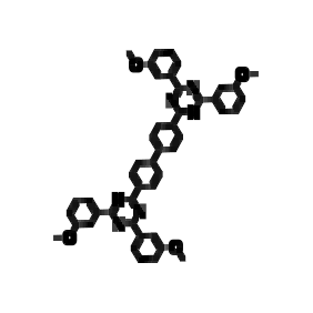 COc1cccc(-c2nc(-c3ccc(-c4ccc(-c5nc(-c6cccc(OC)c6)nc(-c6cccc(OC)c6)n5)cc4)cc3)nc(-c3cccc(OC)c3)n2)c1